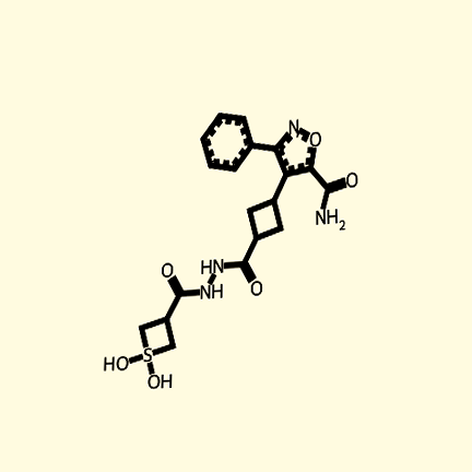 NC(=O)c1onc(-c2ccccc2)c1C1CC(C(=O)NNC(=O)C2CS(O)(O)C2)C1